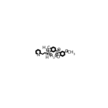 COc1ccc(OC)c(S(=O)(=O)c2ccc(C)c(S(=O)(=O)NCCc3ccccn3)c2)c1